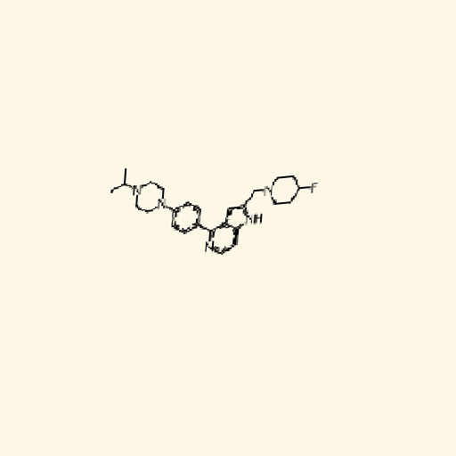 CC(C)N1CCN(c2ccc(-c3nccc4[nH]c(CN5CCC(F)CC5)cc34)cc2)CC1